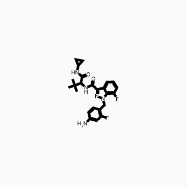 CC(C)(C)C(NC(=O)c1nn(Cc2ccc(N)cc2F)c2c(F)cccc12)C(=O)NC1CC1